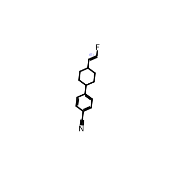 N#Cc1ccc(C2CCC(/C=C/F)CC2)cc1